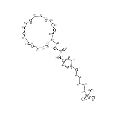 O=C(Nc1ccc(OCCCCC[Si](Cl)(Cl)Cl)cc1)OCC1COCCOCCOCCOCCOCCO1